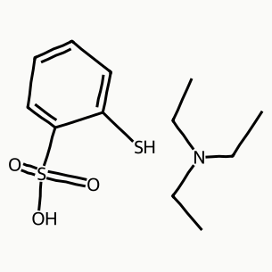 CCN(CC)CC.O=S(=O)(O)c1ccccc1S